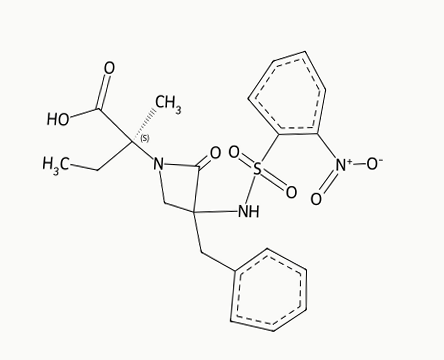 CC[C@@](C)(C(=O)O)N1CC(Cc2ccccc2)(NS(=O)(=O)c2ccccc2[N+](=O)[O-])C1=O